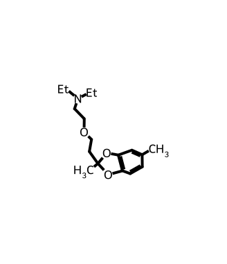 CCN(CC)CCOCCC1(C)Oc2ccc(C)cc2O1